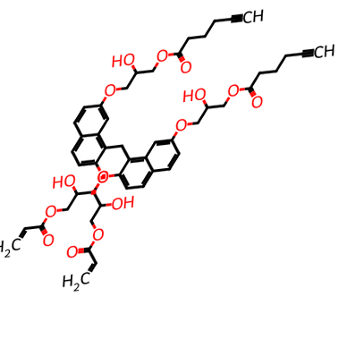 C#CCCCC(=O)OCC(O)COc1ccc2ccc(OCC(O)COC(=O)C=C)c(Cc3c(OCC(O)COC(=O)C=C)ccc4ccc(OCC(O)COC(=O)CCCC#C)cc34)c2c1